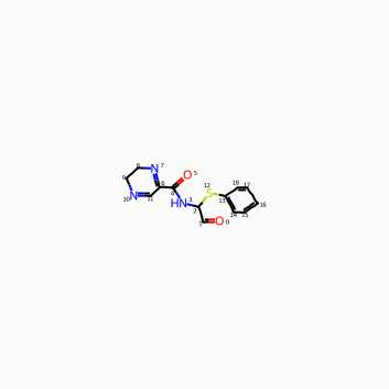 O=CC(NC(=O)C1=NCCN=C1)Sc1ccccc1